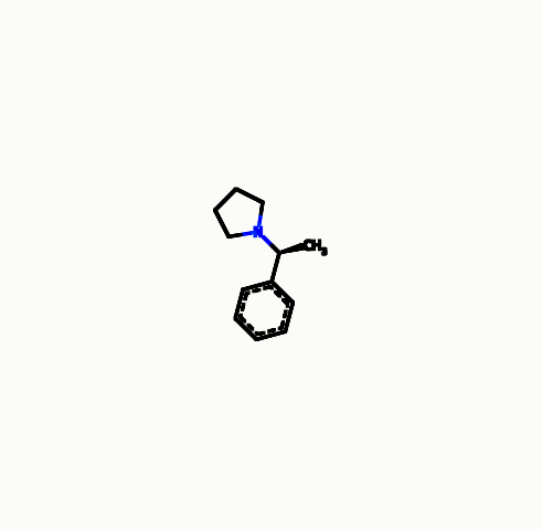 C[C@@H](c1ccccc1)N1CCCC1